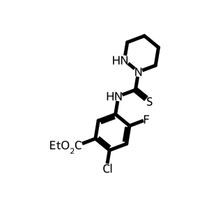 CCOC(=O)c1cc(NC(=S)N2CCCCN2)c(F)cc1Cl